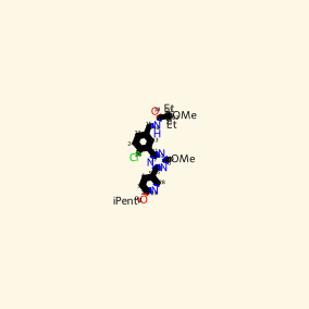 CCCC(C)Oc1ccc(-c2nc(OC)nc(-c3cc(CNC(=O)C(CC)(CC)OC)ccc3Cl)n2)cn1